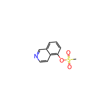 CS(=O)(=O)Oc1cccc2cnccc12